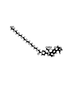 COC[C@@H](C)n1c(C2CCN(C(=O)COCCOCCOCCOCCOCCOCCOCCN)CC2)nc2cnc3cc(-c4c(C)noc4C)c(OC)cc3c21